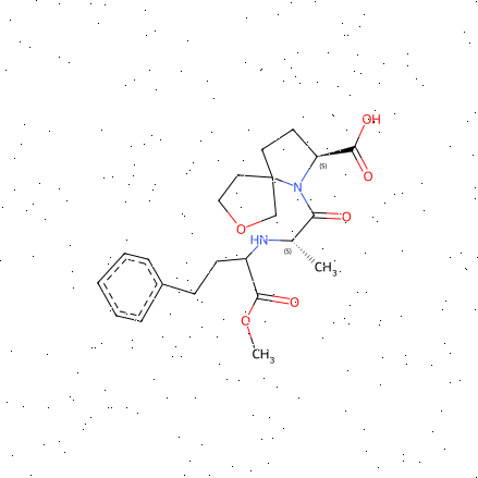 COC(=O)C(CCc1ccccc1)N[C@@H](C)C(=O)N1[C@H](C(=O)O)CCC12CCOC2